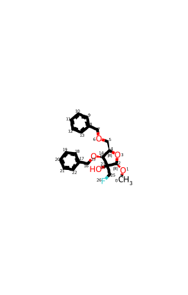 CO[C@@H]1O[C@H](COCc2ccccc2)[C@H](OCc2ccccc2)C1(O)CF